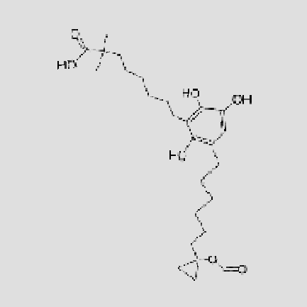 CC(C)(CCCCCCc1c(O)c(O)cc(CCCCCCC2(OC=O)CC2)c1O)C(=O)O